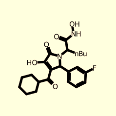 CCCCC(C(=O)NO)N1C(=O)C(O)=C(C(=O)C2CCCCC2)C1c1cccc(F)c1